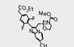 CCOC(=O)Cc1cc(F)c(-c2nc3cc(C)ccn3c2C[C@H]2CN(C(=O)OC)CCO2)c(F)c1